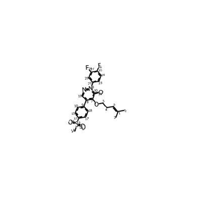 CC(C)=CCCOc1c(-c2ccc(S(C)(=O)=O)cc2)cnn(-c2ccc(F)c(F)c2)c1=O